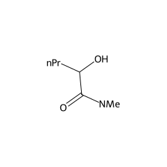 CCCC(O)C(=O)NC